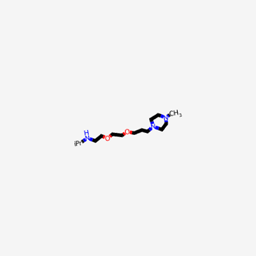 CC(C)NCCOCCOCCCN1CCN(C)CC1